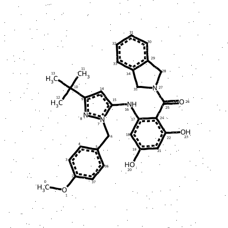 COc1ccc(Cn2nc(C(C)(C)C)cc2Nc2cc(O)cc(O)c2C(=O)N2Cc3ccccc3C2)cc1